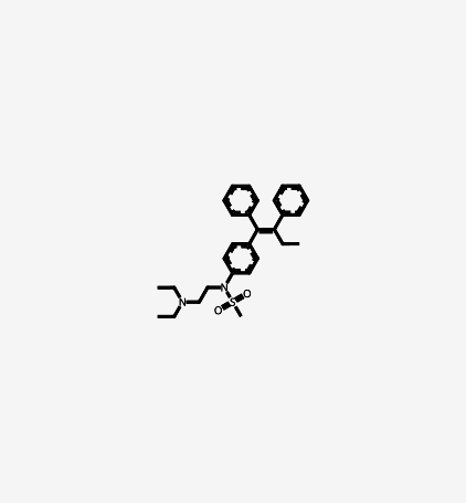 CCC(=C(c1ccccc1)c1ccc(N(CCN(CC)CC)S(C)(=O)=O)cc1)c1ccccc1